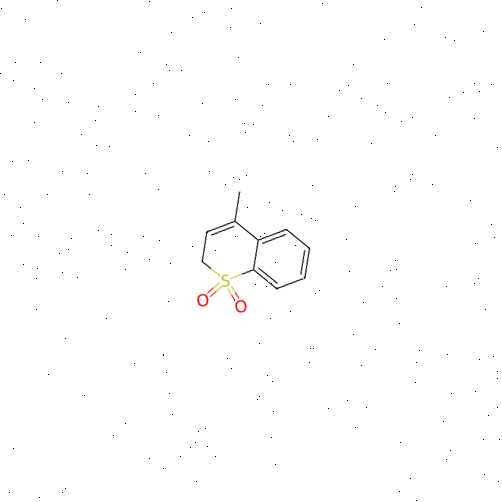 CC1=CCS(=O)(=O)c2ccccc21